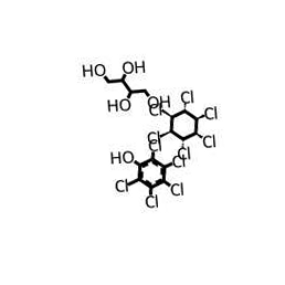 Cl[C@H]1[C@H](Cl)[C@@H](Cl)[C@@H](Cl)[C@H](Cl)[C@H]1Cl.OCC(O)C(O)CO.Oc1c(Cl)c(Cl)c(Cl)c(Cl)c1Cl